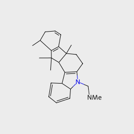 CNCN1C2=C(C3C=CC=CC31)C1C(C)(C)C3=C(C=CCC3C)C1(C)CC2